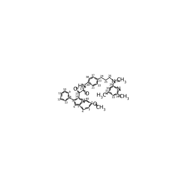 COc1ccc2cc(-c3ccccc3)c(C(=O)C(=O)Nc3ccc(CCCN(C)c4cc(C)cc(C)n4)cc3)n2c1